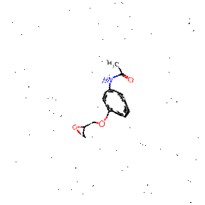 CC(=O)Nc1cccc(OCC2CO2)c1